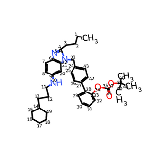 CCCCc1nc2ccc(NCCCC3CCCCC3)cc2n1Cc1ccc(-c2ccccc2OC(=O)OC(C)(C)C)cc1